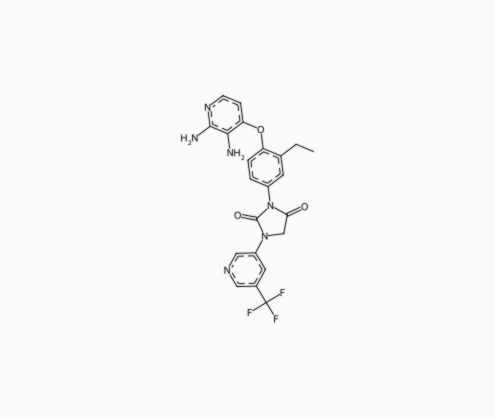 CCc1cc(N2C(=O)CN(c3cncc(C(F)(F)F)c3)C2=O)ccc1Oc1ccnc(N)c1N